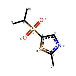 Cc1ncc(S(=O)(=O)C(C)C)s1